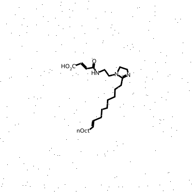 CCCCCCCCC=CCCCCCCCC1=NCCN1CCNC(=O)C=CC(=O)O